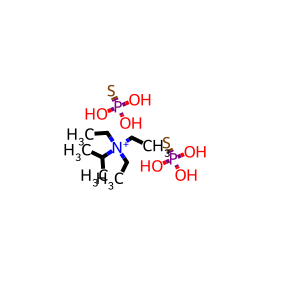 CC[N+](CC)(CC)C(C)C.OP(O)(O)=S.OP(O)(O)=S